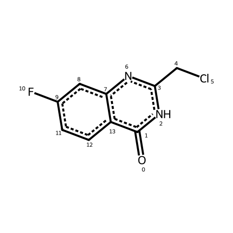 O=c1[nH]c(CCl)nc2cc(F)ccc12